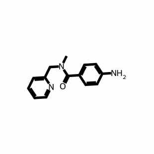 CN(Cc1ccccn1)C(=O)c1ccc(N)cc1